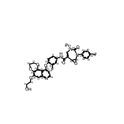 CC(C)N1C=C(C(=O)Nc2ccc(Oc3ccnc4cc(OCCO)c5c(c34)OCCO5)c(F)c2)C2OC2N(c2ccc(F)cc2)C1=O